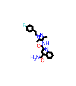 Cc1nn(CCc2ccc(F)cc2)c(C)c1NC(=O)c1cc(C(N)=O)c2ccccc2n1